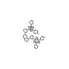 Cc1ccc(-c2nc(-c3ccccc3)nc(-c3cccc(-c4ccc5cccc(-c6cccc(-c7nc(-c8ccccc8)nc(-c8ccc(C)cc8)n7)c6)c5c4)c3)n2)cc1